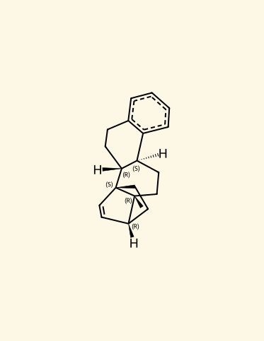 C[C@]12CC[C@@H]3c4ccccc4CC[C@H]3[C@@]13C=C[C@H]2CC3